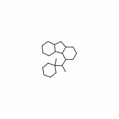 CC(C1CCCC2CC3CCCCC3C21)C1(C)CCCCC1